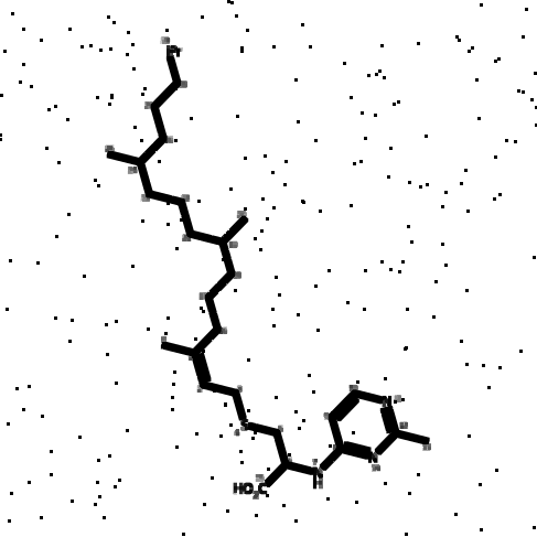 CC(=CCSCC(Nc1ccnc(C)n1)C(=O)O)CCCC(C)CCCC(C)CCCC(C)C